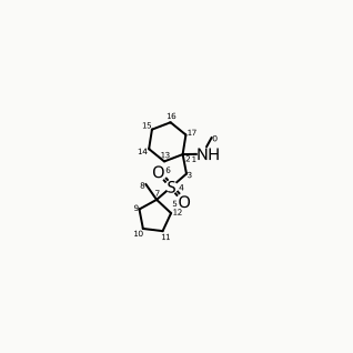 CNC1(CS(=O)(=O)C2(C)CCCC2)CCCCC1